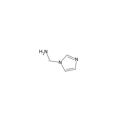 N[CH]n1ccnc1